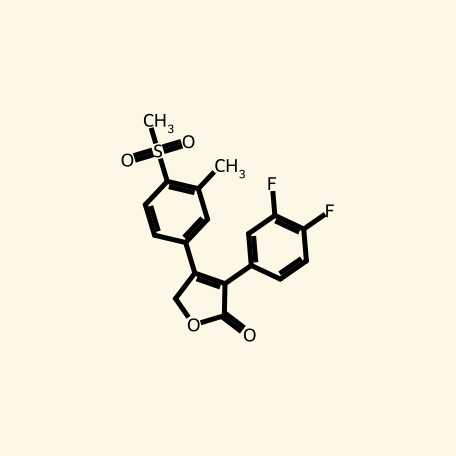 Cc1cc(C2=C(c3ccc(F)c(F)c3)C(=O)OC2)ccc1S(C)(=O)=O